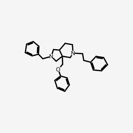 c1ccc(CCN2CCC3CN(Cc4ccccc4)CC3(COc3ccccc3)C2)cc1